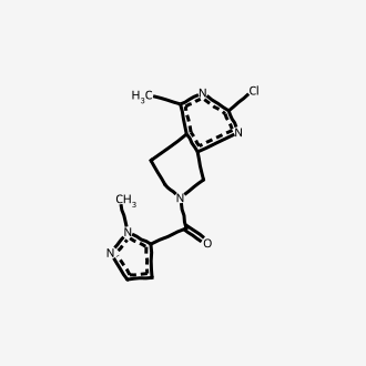 Cc1nc(Cl)nc2c1CCN(C(=O)c1ccnn1C)C2